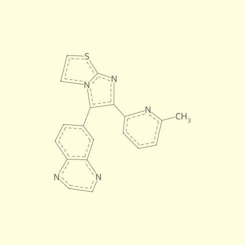 Cc1cccc(-c2nc3sccn3c2-c2ccc3nccnc3c2)n1